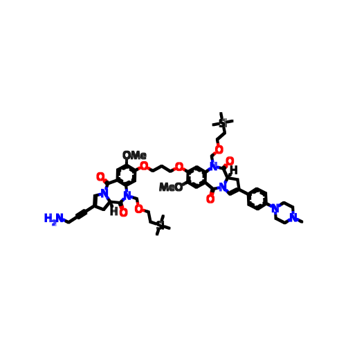 COc1cc2c(cc1OCCCOc1cc3c(cc1OC)C(=O)N1C=C(c4ccc(N5CCN(C)CC5)cc4)C[C@H]1C(=O)N3COCC[Si](C)(C)C)N(COCC[Si](C)(C)C)C(=O)[C@@H]1CC(C#CCN)=CN1C2=O